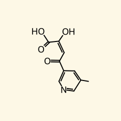 Cc1cncc(C(=O)/C=C(/O)C(=O)O)c1